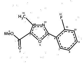 COC(=O)c1oc(-c2ccccc2F)nc1C